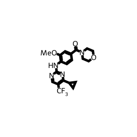 COc1cc(C(=O)N2CCOCC2)ccc1Nc1ncc(C(F)(F)F)c(C2CC2)n1